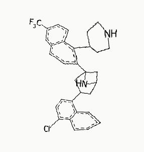 FC(F)(F)c1ccc2c(C3CCNCC3)c(C34CC(CC(c5ccc(Cl)c6ccccc56)C3)N4)ccc2c1